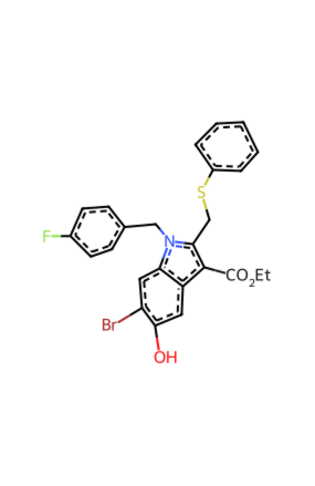 CCOC(=O)c1c(CSc2ccccc2)n(Cc2ccc(F)cc2)c2cc(Br)c(O)cc12